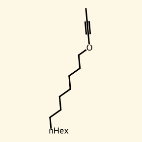 CC#COCCCCCCCCCCCCC